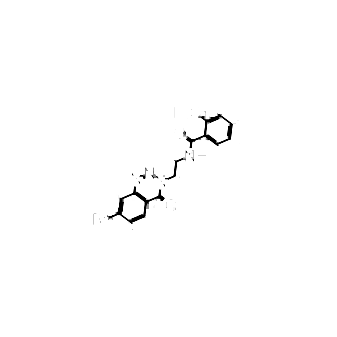 O=C(NCCn1nnc2cc(Br)ccc2c1=O)c1ccccc1C(F)(F)F